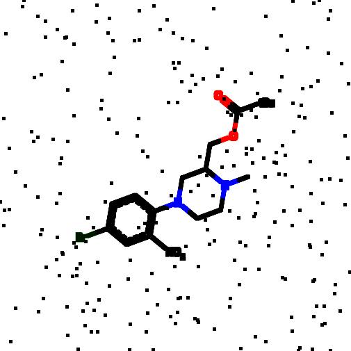 CN1CCN(c2ccc(Br)cc2[N+](=O)[O-])CC1COC(=O)C(C)(C)C